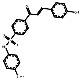 COc1ccc(NS(=O)(=O)c2ccc(C(=O)/C=C/c3ccc(O)cc3)cc2)cc1